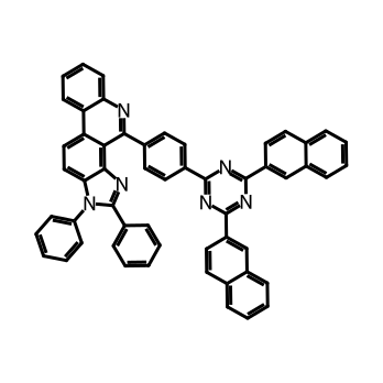 c1ccc(-c2nc3c4c(-c5ccc(-c6nc(-c7ccc8ccccc8c7)nc(-c7ccc8ccccc8c7)n6)cc5)nc5ccccc5c4ccc3n2-c2ccccc2)cc1